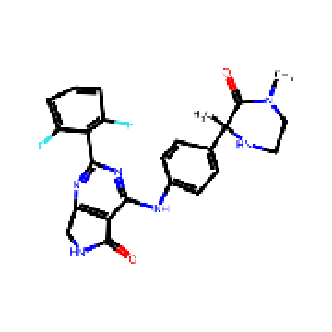 CN1CCNC(C)(c2ccc(Nc3nc(-c4c(F)cccc4F)nc4c3C(=O)NC4)cc2)C1=O